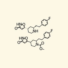 COC(=O)N1CCC(c2cc(=O)[nH]o2)CC1CCc1ccc(F)cc1.O=c1cc([C@H]2CCN[C@H](CCc3ccc(F)cc3)C2)o[nH]1